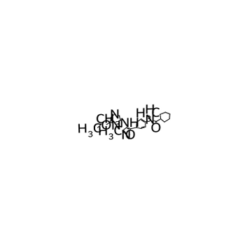 Cc1noc(-c2ccc(NC(=O)C3CCCCC3C)cc2)c1Nc1cncc(OC(C)C)n1